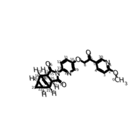 COc1ccc(C(=O)COc2ccc(N3C(=O)[C@@H]4[C@@H]5C=C[C@@H]([C@H]6C[C@@H]56)[C@@H]4C3=O)nc2)cn1